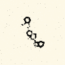 N#Cc1ccccc1OC[C@H]1CC[C@H]2CN(c3noc4ccccc34)CCN2C1